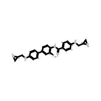 O=C(Oc1ccc(-c2ccc(OCC3CO3)cc2)cc1F)c1ccc(OCC2CO2)cc1